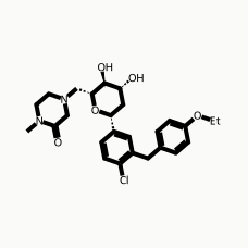 CCOc1ccc(Cc2cc([C@H]3C[C@@H](O)[C@H](O)[C@@H](CN4CCN(C)C(=O)C4)O3)ccc2Cl)cc1